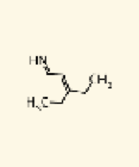 CCC(=CC=N)CC